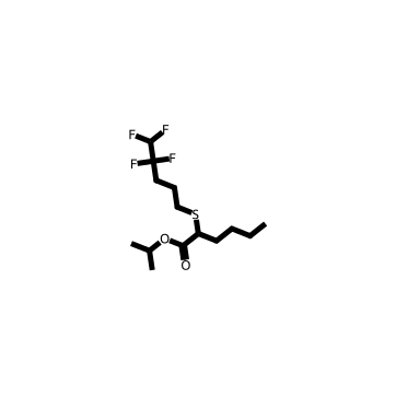 CCCCC(SCCCC(F)(F)C(F)F)C(=O)OC(C)C